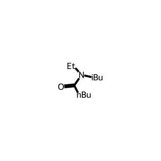 [CH2]CCCC(=O)N(CC)C(C)CC